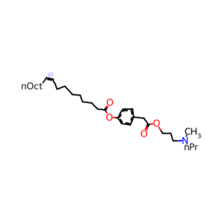 CCCCCCCC/C=C\CCCCCCCC(=O)Oc1ccc(CC(=O)OCCCN(C)CCC)cc1